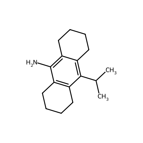 CC(C)c1c2c(c(N)c3c1CCCC3)CCCC2